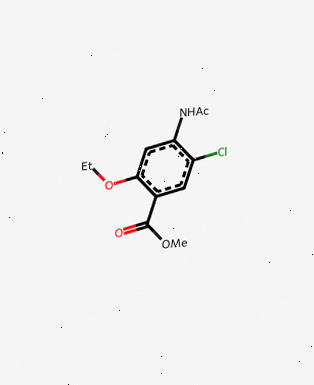 CCOc1cc(NC(C)=O)c(Cl)cc1C(=O)OC